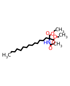 CCCCCCCCCCCCCCC(NC(C)=O)(C(=O)OCC)C(=O)OCC